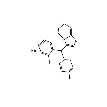 Br.Fc1ccc(C(C2=CSC3=NCCCN23)c2ccccc2F)cc1